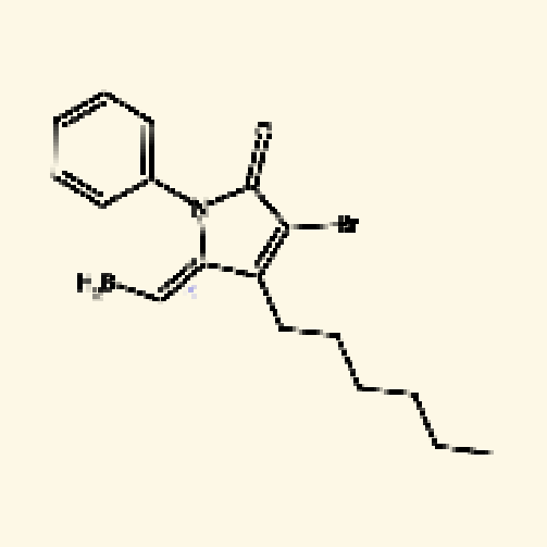 B/C=C1/C(CCCCCC)=C(Br)C(=O)N1c1ccccc1